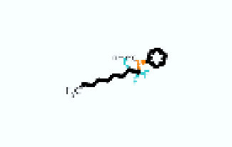 CCCCCCP(c1ccccc1)C(F)(F)C(F)CCCCCCC(F)(F)F